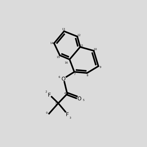 CC(F)(F)C(=O)Oc1cccc2ccccc12